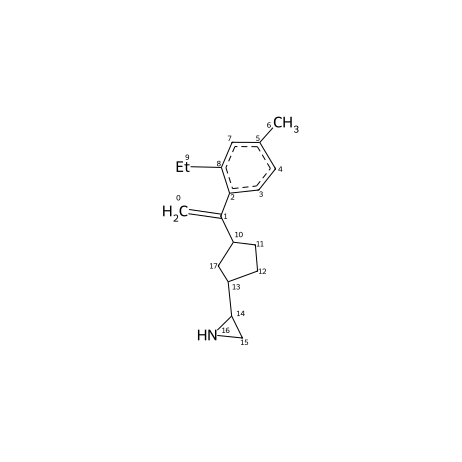 C=C(c1ccc(C)cc1CC)C1CCC(C2CN2)C1